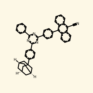 N#Cc1c2ccccc2c(-c2ccc(-c3nc(-c4ccccc4)nc(-c4ccc(C56C[C@H]7C[C@H](C5)C[C@@H](C6)C7)cc4)n3)cc2)c2ccccc12